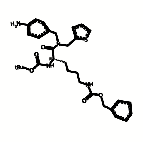 CC(C)(C)OC(=O)N[C@@H](CCCCNC(=O)OCc1ccccc1)C(=O)N(Cc1ccc(N)cc1)Cc1cccs1